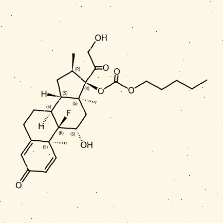 CCCCCOC(=O)O[C@]1(C(=O)CO)[C@H](C)C[C@H]2[C@@H]3CCC4=CC(=O)C=C[C@]4(C)[C@@]3(F)[C@@H](O)C[C@@]21C